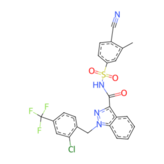 Cc1cc(S(=O)(=O)NC(=O)c2nn(Cc3ccc(C(F)(F)F)cc3Cl)c3ccccc23)ccc1C#N